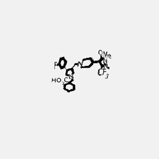 COc1nn(C)c(C(F)(F)F)c1C1CCN(C[C@H]2CN(CC3(C(=O)O)CCCCC3)C[C@@H]2c2cccc(F)c2)CC1